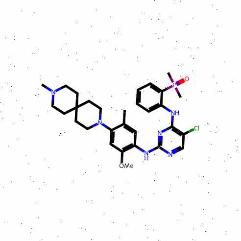 COc1cc(N2CCC3(CCN(C)CC3)CC2)c(C)cc1Nc1ncc(Cl)c(Nc2ccccc2P(C)(C)=O)n1